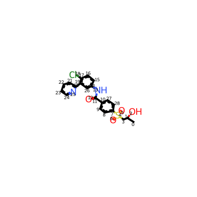 CC(O)CS(=O)(=O)c1ccc(C(=O)Nc2ccc(Cl)c(-c3ccccn3)c2)cc1